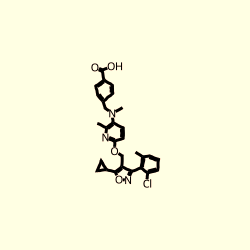 Cc1cccc(Cl)c1-c1noc(C2CC2)c1COc1ccc(N(C)Cc2ccc(C(=O)O)cc2)c(C)n1